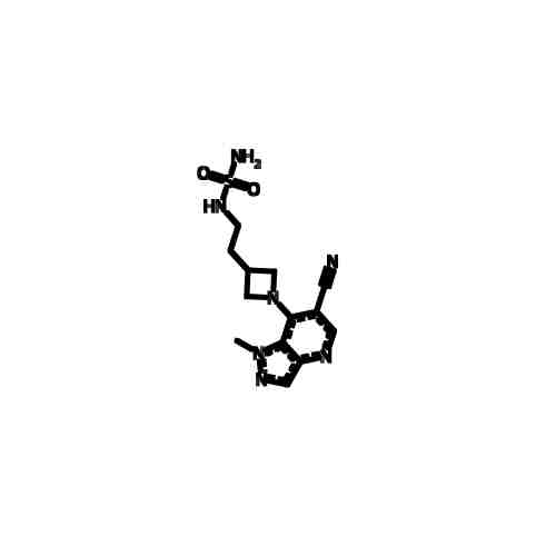 Cn1ncc2ncc(C#N)c(N3CC(CCNS(N)(=O)=O)C3)c21